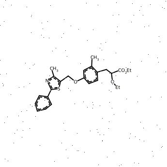 CCOC(=O)C(Cc1ccc(OCc2sc(-c3ccccc3)nc2C)cc1C)OCC